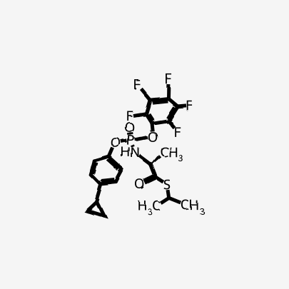 CC(C)SC(=O)[C@H](C)NP(=O)(Oc1ccc(C2CC2)cc1)Oc1c(F)c(F)c(F)c(F)c1F